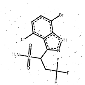 NS(=O)(=O)C(CC(F)(F)F)c1n[nH]c2c(Br)ccc(Cl)c12